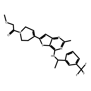 COCC(=O)N1CC=C(c2cc3nc(C)nc(NC(C)c4cccc(C(F)(F)F)c4)c3s2)CC1